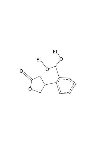 CCOC(OCC)c1ccccc1C1COC(=O)C1